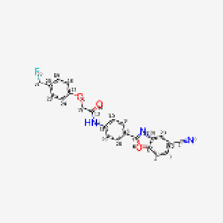 N#Cc1ccc2oc(-c3ccc(NC(=O)COc4ccc(CF)cc4)cc3)nc2c1